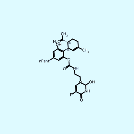 C=C(C)[C@@H]1CCC(C)=C[C@H]1c1c(O)cc(CCCCC)cc1OC(=O)NCCN1C=C(F)C(=O)NC1O